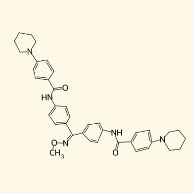 CON=C(c1ccc(NC(=O)c2ccc(N3CCCCC3)cc2)cc1)c1ccc(NC(=O)c2ccc(N3CCCCC3)cc2)cc1